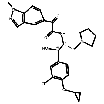 Cn1ncc2cc(C(=O)C(=O)N[C@H](CN3CCCC3)[C@H](O)c3ccc(OC4CC4)c(Cl)c3)ccc21